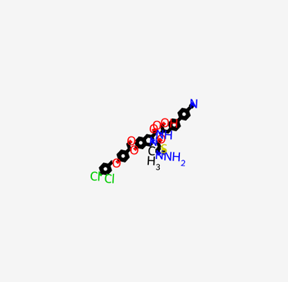 Cc1nc(N)sc1C(=O)N1Cc2cc3c(cc2CC1C(=O)NC(Cc1ccc(-c2ccc(C#N)cc2)cc1)C(=O)O)OCC(c1ccc(OCc2ccc(Cl)c(Cl)c2)cc1)O3